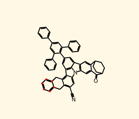 N#Cc1cc2c(c3c1C1c4ccccc4C3c3ccccc31)c1cc(-c3c(-c4ccccc4)cc(-c4ccccc4)cc3-c3ccccc3)cc3c4cc5c(cc4n2c31)C(=O)C1CCC5CC1